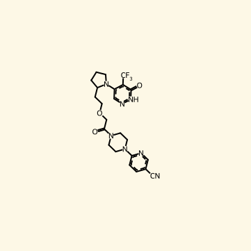 N#Cc1ccc(N2CCN(C(=O)COCCC3CCCN3c3cn[nH]c(=O)c3C(F)(F)F)CC2)nc1